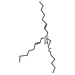 CCCCCC=CC[SiH](CC=CCCCCC)CCCCCCCC